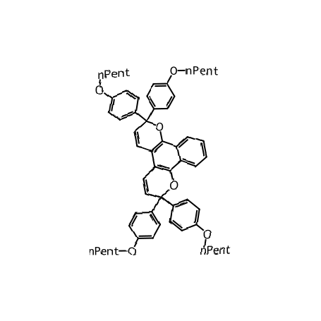 CCCCCOc1ccc(C2(c3ccc(OCCCCC)cc3)C=Cc3c4c(c5ccccc5c3O2)OC(c2ccc(OCCCCC)cc2)(c2ccc(OCCCCC)cc2)C=C4)cc1